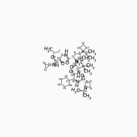 CCC[C@H](NC(=O)[C@@H]1C[C@@H](C2(C(C)(C)C)CCC2)CN1C(=O)[C@@H](NC(=O)[C@@H](NC(=O)[C@@H]1CCN1C(C)C)C1CCCCC1)C(C)(C)C)C(=O)C(=O)NC1CC1